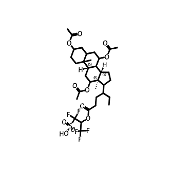 CCC(CCC(=O)OC(C(F)(F)F)C(F)(F)S(=O)(=O)O)C1CC[C@H]2C3C(OC(C)=O)CC4CC(OC(C)=O)CCC4(C)[C@H]3CC(OC(C)=O)[C@]12C